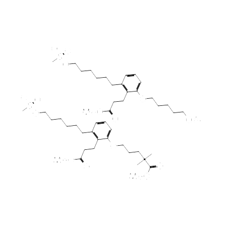 COC(=O)CCc1c(CCCCCCOS(C)(=O)=O)cccc1OCCCC(C)(C)C(=O)OC.COC(=O)CCc1c(CCCCCCOS(C)(=O)=O)cccc1OCCCCCOC(C)=O